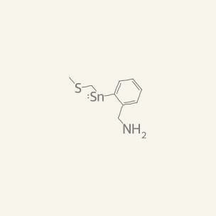 CS[CH2][Sn][c]1ccccc1CN